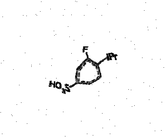 CC(C)c1ccc(S(=O)(=O)O)cc1F